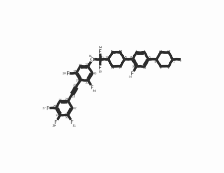 CC1CCC(c2ccc(C3CCC(C(F)(F)Oc4cc(F)c(C#Cc5cc(F)c(F)c(F)c5)c(F)c4)CC3)c(F)c2)CC1